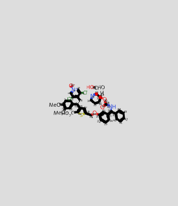 COc1ccc([C@H](Cc2c(Cl)c[n+]([O-])cc2Cl)c2cc(COc3cccc([C@@H](NC(=O)O[C@H]4CN5CCC4CC5)c4ccccc4)c3)sc2C(=O)O)cc1OC.O=CO